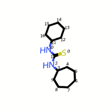 S=C(NC1CCCCCC1)NC1CCCCC1